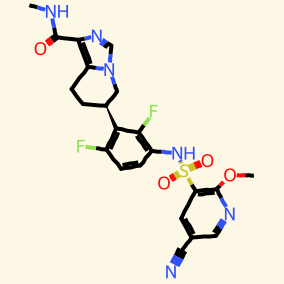 CNC(=O)c1ncn2c1CC[C@H](c1c(F)ccc(NS(=O)(=O)c3cc(C#N)cnc3OC)c1F)C2